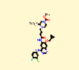 CCOC(=O)C1CN(C(=O)OC(C)(C)C)CCN1CC=CC(=O)Nc1cc2c(Nc3ccc(F)c(Cl)c3)ncnc2cc1OCC1CC1